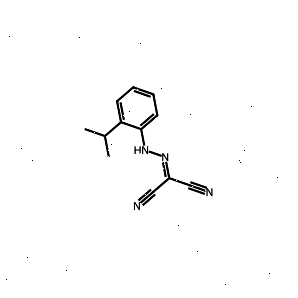 CC(C)c1ccccc1NN=C(C#N)C#N